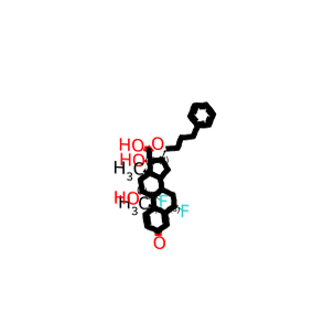 C[C@]12C=CC(=O)C=C1[C@@H](F)CC1C3C[C@@H](CCCCc4ccccc4)[C@](O)(C(=O)O)[C@@]3(C)C[C@H](O)[C@@]12F